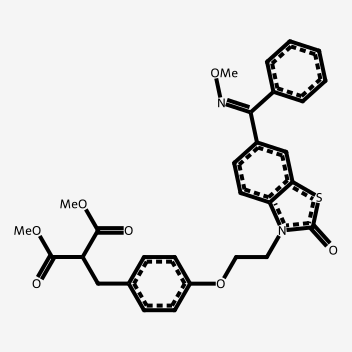 CON=C(c1ccccc1)c1ccc2c(c1)sc(=O)n2CCOc1ccc(CC(C(=O)OC)C(=O)OC)cc1